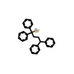 BrC(CCC(c1ccccc1)c1ccccc1)(c1ccccc1)c1ccccc1